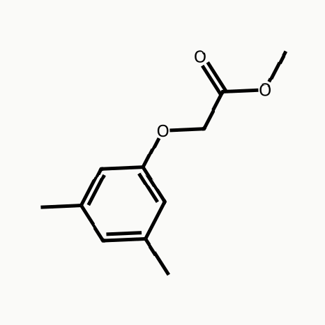 COC(=O)COc1cc(C)cc(C)c1